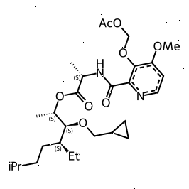 CC[C@@H](CCC(C)C)[C@H](OCC1CC1)[C@H](C)OC(=O)[C@H](C)NC(=O)c1nccc(OC)c1OCOC(C)=O